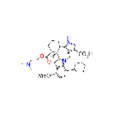 COc1ccc(C2CCCCC2)c2c1cc1n2C=c2c(C(=O)O)c[nH]c2=C2CCCC(C(=O)OCCN(C)C)[C@H]21